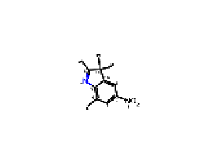 CC1=Nc2c(C)cc([N+](=O)[O-])cc2C1(C)C